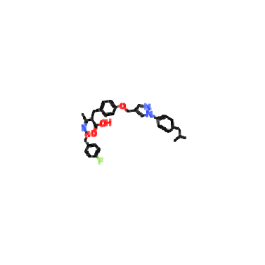 CC(=NOCc1ccc(F)cc1)C(Cc1ccc(OCc2cnn(-c3ccc(CC(C)C)cc3)c2)cc1)C(=O)O